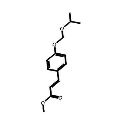 COC(=O)/C=C/c1ccc(OCOC(C)C)cc1